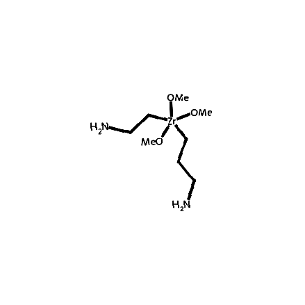 C[O][Zr]([CH2]CN)([CH2]CCN)([O]C)[O]C